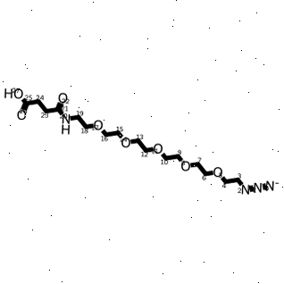 [N-]=[N+]=NCCOCCOCCOCCOCCOCCNC(=O)CCC(=O)O